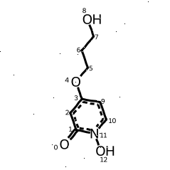 O=c1cc(OCCCO)ccn1O